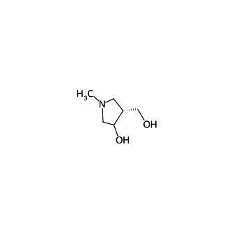 CN1CC(O)[C@@H](CO)C1